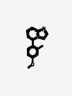 COc1ccc(-c2cccc3nccn23)c(C)c1